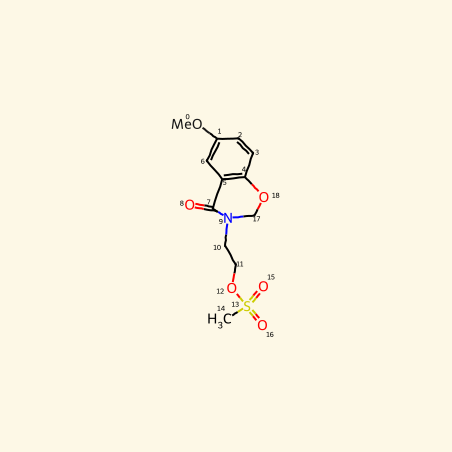 COc1ccc2c(c1)C(=O)N(CCOS(C)(=O)=O)CO2